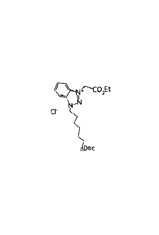 CCCCCCCCCCCCCCCCn1n[n+](CC(=O)OCC)c2ccccc21.[Cl-]